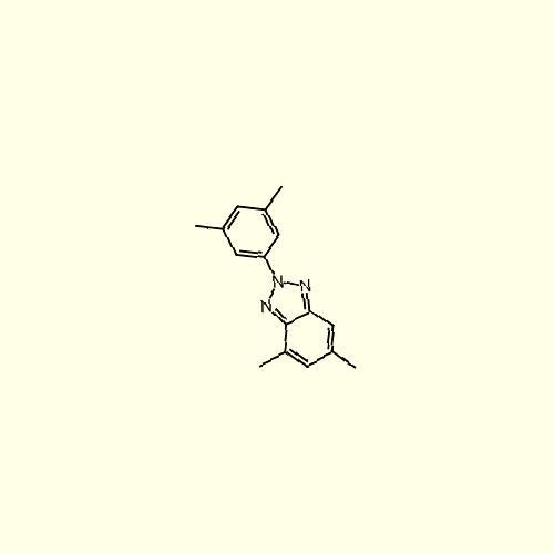 Cc1cc(C)cc(-n2nc3cc(C)cc(C)c3n2)c1